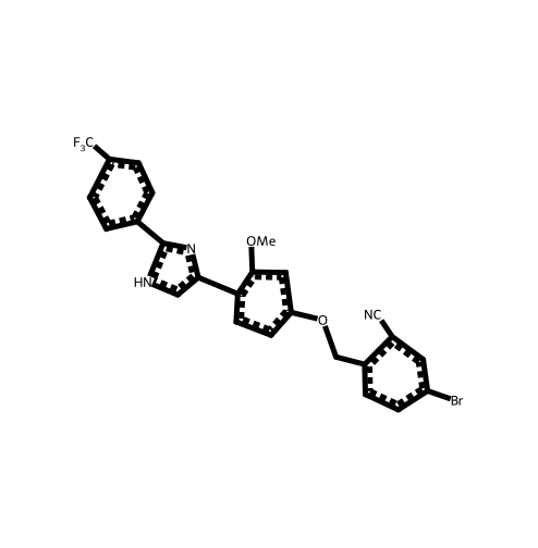 COc1cc(OCc2ccc(Br)cc2C#N)ccc1-c1c[nH]c(-c2ccc(C(F)(F)F)cc2)n1